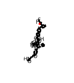 CC(=O)NCCCCC(=O)N1CCN(CC[C@H](CSc2ccccc2)Nc2ccc(S(=O)(=O)NC(=O)c3ccc(N4CCN(CC5=C(C67CC(C(F)F)(C6)C7)CC(C)(C)CC5)CC4)cc3)cc2S(=O)(=O)C(F)(F)F)CC1